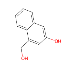 OCc1cc(O)cc2ccccc12